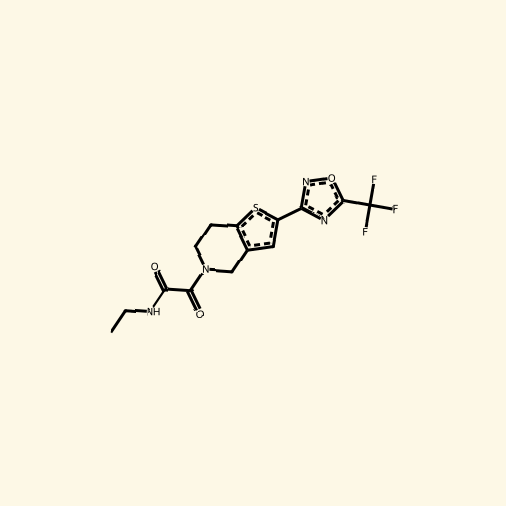 CCNC(=O)C(=O)N1CCc2sc(-c3noc(C(F)(F)F)n3)cc2C1